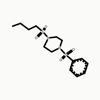 CCCCS(=O)(=O)N1CCN(S(=O)(=O)c2ccccc2)CC1